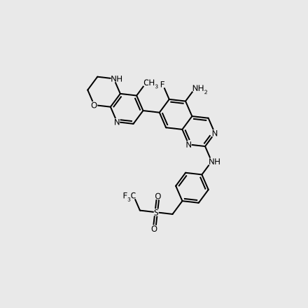 Cc1c(-c2cc3nc(Nc4ccc(CS(=O)(=O)CC(F)(F)F)cc4)ncc3c(N)c2F)cnc2c1NCCO2